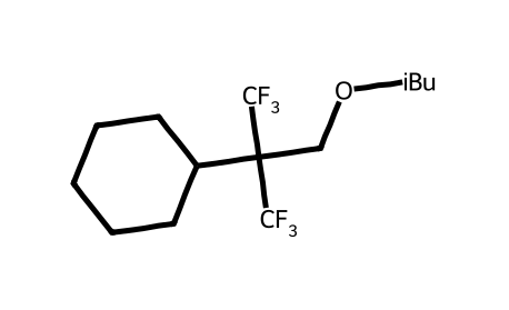 CCC(C)OCC(C1CCCCC1)(C(F)(F)F)C(F)(F)F